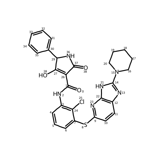 O=C(Nc1cccc(Sc2ccc3nc(N4CCCCC4)[nH]c3n2)c1Cl)C1=C(O)C(c2ccccc2)NC1=O